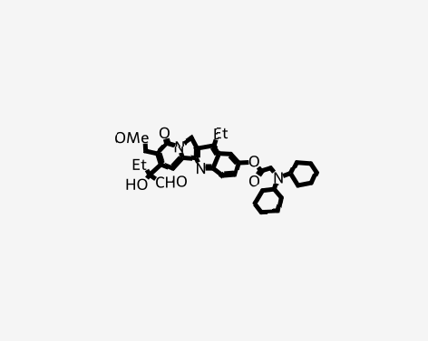 CCc1c2c(nc3ccc(OC(=O)CN(C4CCCCC4)C4CCCCC4)cc13)-c1cc(C(O)(C=O)CC)c(COC)c(=O)n1C2